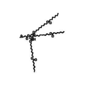 CCCCCCCC(=O)OCCCCCCCCCOC(=O)CC(CC(O)OCCCCCCCCCOC(=O)CCCCCCC)(OC(=O)CCN(C)C)C(=O)OCCCCCCCCCOC(=O)CCCCCCC